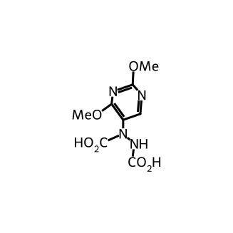 COc1ncc(N(NC(=O)O)C(=O)O)c(OC)n1